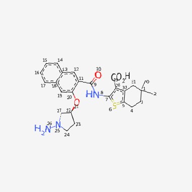 CC1(C)CCc2sc(NC(=O)c3cc4ccccc4cc3O[C@H]3CCN(N)C3)c(C(=O)O)c2C1